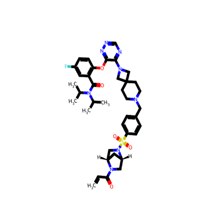 C=CC(=O)N1C[C@@H]2C[C@H]1CN2S(=O)(=O)c1ccc(CN2CCC3(CC2)CN(c2ncnnc2Oc2ccc(F)cc2C(=O)N(C(C)C)C(C)C)C3)cc1